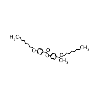 CCCCCCCCOc1ccc(C(=O)Oc2ccc(C(C)OCCCCCCCC)cc2)cc1